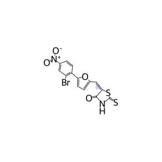 O=C1NC(=S)S/C1=C/c1ccc(-c2ccc([N+](=O)[O-])cc2Br)o1